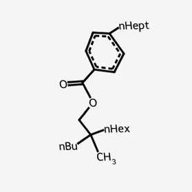 CCCCCCCc1ccc(C(=O)OCC(C)(CCCC)CCCCCC)cc1